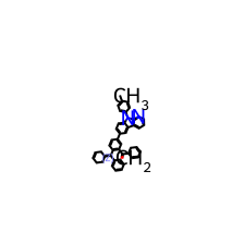 C=C(c1cc(-c2ccc3c(c2)c2cccnc2n3-c2ccc(C)cc2)ccc1/C(=C1\CC=CCC1)c1ccccc1)C1C=CC=CC1